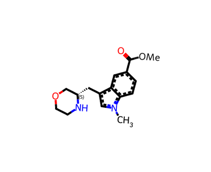 COC(=O)c1ccc2c(c1)c(C[C@H]1COCCN1)cn2C